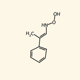 C/C(=C\NOO)c1ccccc1